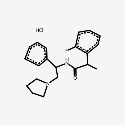 CC(C(=O)NC(CN1CCCC1)c1ccccc1)c1ccccc1F.Cl